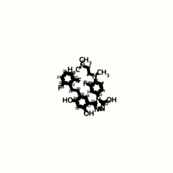 CN(C)CCN(C)c1ccc(-n2c(O)nnc2-c2cc(CCc3c(F)cccc3F)c(O)cc2O)cc1F